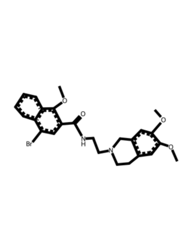 COc1cc2c(cc1OC)CN(CCNC(=O)c1cc(Br)c3ccccc3c1OC)CC2